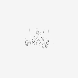 C=CC(=O)N1CCC(N(C)c2nc(OCC34CCCN3CC(F)C4)nc3cc(-c4ccc(F)c5sc(N)c(C#N)c45)ccc23)C1COC